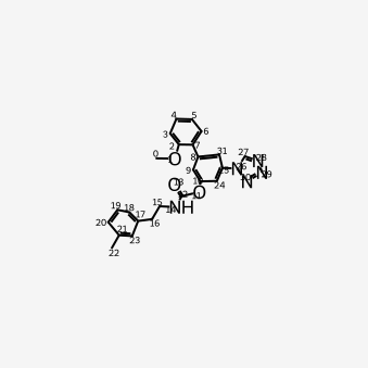 COc1ccccc1-c1cc(OC(=O)NCCc2cccc(C)c2)cc(-n2cnnn2)c1